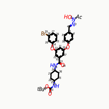 CC(=O)N(O)N=Cc1ccc(Oc2cc(Oc3cccc(Br)c3)cc(C(=O)NC3CCC(NC(=O)OC(C)(C)C)CC3)c2)cc1